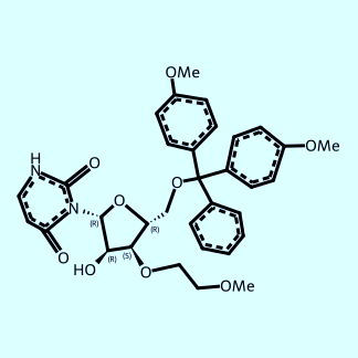 COCCO[C@H]1[C@@H](O)[C@H](n2c(=O)cc[nH]c2=O)O[C@@H]1COC(c1ccccc1)(c1ccc(OC)cc1)c1ccc(OC)cc1